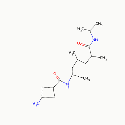 CC(CC(C)NC(=O)C1CC(N)C1)CC(C)C(=O)NC(C)C